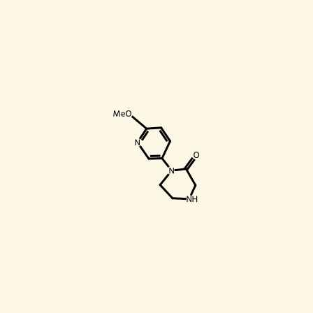 COc1ccc(N2CCNCC2=O)cn1